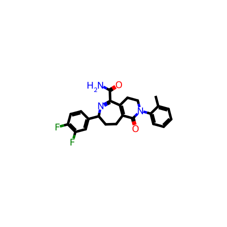 Cc1ccccc1N1CCC2=C(CCC(c3ccc(F)c(F)c3)N=C2C(N)=O)C1=O